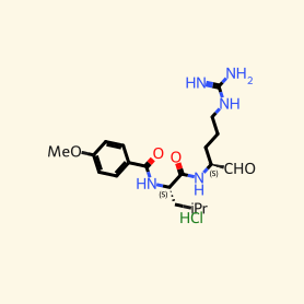 COc1ccc(C(=O)N[C@@H](CC(C)C)C(=O)N[C@H](C=O)CCCNC(=N)N)cc1.Cl